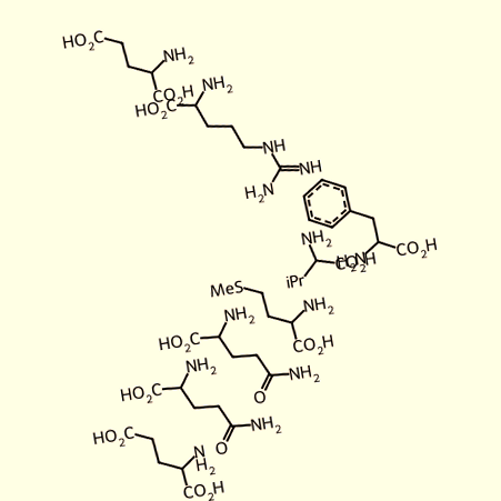 CC(C)C(N)C(=O)O.CSCCC(N)C(=O)O.N=C(N)NCCCC(N)C(=O)O.NC(=O)CCC(N)C(=O)O.NC(=O)CCC(N)C(=O)O.NC(CCC(=O)O)C(=O)O.NC(CCC(=O)O)C(=O)O.NC(Cc1ccccc1)C(=O)O